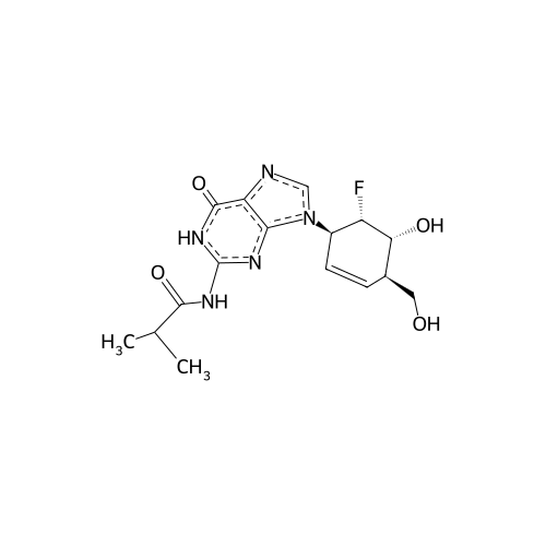 CC(C)C(=O)Nc1nc2c(ncn2[C@@H]2C=C[C@H](CO)[C@@H](O)[C@H]2F)c(=O)[nH]1